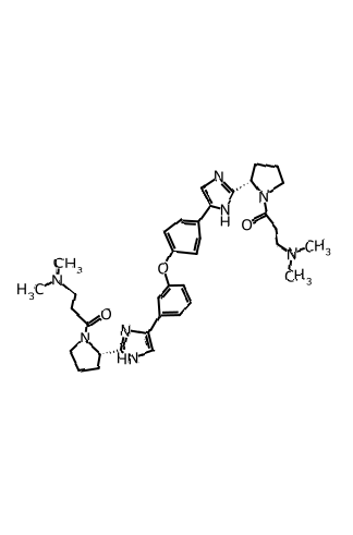 CN(C)CCC(=O)N1CCC[C@H]1c1nc(-c2cccc(Oc3ccc(-c4cnc([C@@H]5CCCN5C(=O)CCN(C)C)[nH]4)cc3)c2)c[nH]1